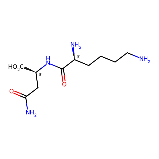 NCCCC[C@H](N)C(=O)N[C@@H](CC(N)=O)C(=O)O